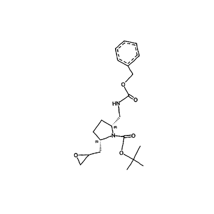 CC(C)(C)OC(=O)N1[C@@H](CNC(=O)OCc2ccccc2)CC[C@H]1CC1CO1